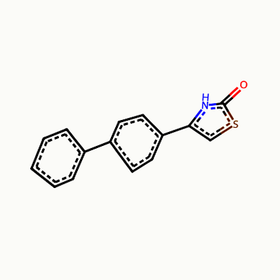 O=c1[nH]c(-c2ccc(-c3ccccc3)cc2)cs1